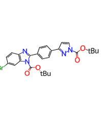 CC(C)(C)OC(=O)n1ccc(-c2ccc(-c3nc4ccc(Br)cc4n3C(=O)OC(C)(C)C)cc2)n1